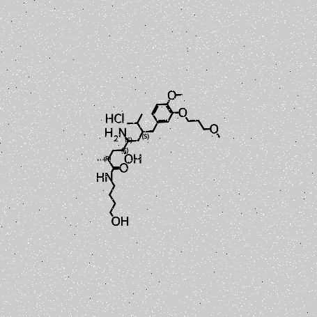 COCCCOc1cc(C[C@@H](C[C@H](N)[C@@H](O)C[C@@H](C)C(=O)NCCCCO)C(C)C)ccc1OC.Cl